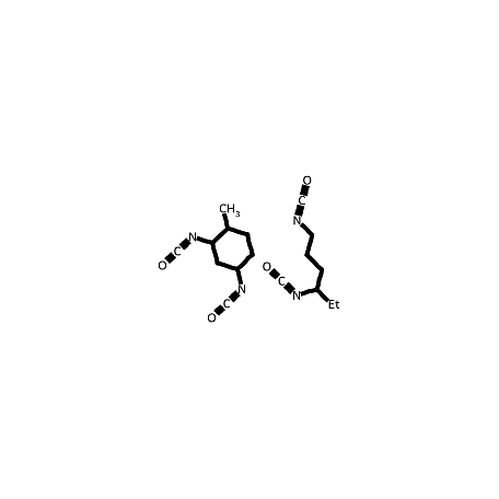 CC1CCC(N=C=O)CC1N=C=O.CCC(CCCN=C=O)N=C=O